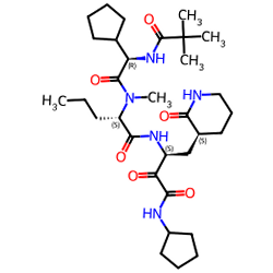 CCC[C@@H](C(=O)N[C@@H](C[C@@H]1CCCNC1=O)C(=O)C(=O)NC1CCCC1)N(C)C(=O)[C@H](NC(=O)C(C)(C)C)C1CCCC1